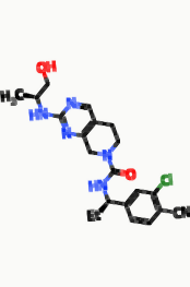 CC[C@@H](NC(=O)N1CCc2cnc(N[C@@H](C)CO)nc2C1)c1ccc(C#N)c(Cl)c1